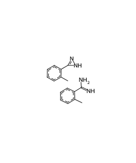 Cc1ccccc1C(=N)N.Cc1ccccc1C1=NN1